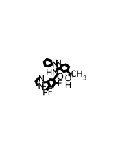 C[C@@H](O)c1ccc2nn(-c3ccccc3)c(NC(=O)c3cc(-c4ncccn4)c(C(F)(F)F)cc3F)c2c1